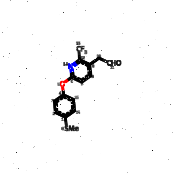 CSc1ccc(Oc2ccc(CC=O)c(C(F)(F)F)n2)cc1